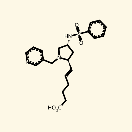 O=C(O)CCCC=C[C@@H]1C[C@@H](NS(=O)(=O)c2ccccc2)CN1Cc1cccnc1